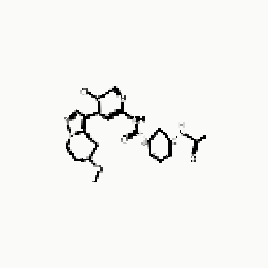 COC1CCn2ncc(-c3cc(NC(=O)[C@H]4CCC[C@@H](NC(C)=O)C4)ncc3Cl)c2C1